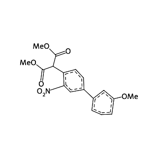 COC(=O)C(C(=O)OC)c1ccc(-c2cccc(OC)c2)cc1[N+](=O)[O-]